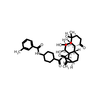 C=C1C(=O)[C@]23[C@H](OC(=O)C4CCC(NC(=O)c5cccc(C)c5)CC4)[C@H]1CC[C@H]2[C@@]12CO[C@]3(O)[C@@H](O)[C@@H]1C(C)(C)CCC2=O